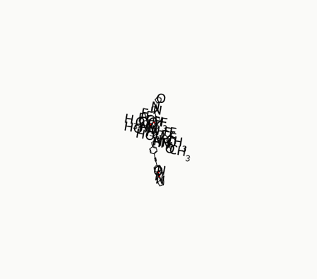 COC(=O)N[C@H](C(=O)N[C@@H](Cc1ccc(C#Cc2ccc(N3CC4CCC(C3)N4C3COC3)nc2)cc1)[C@@H](O)CN(Cc1c(F)cc(-c2ccn([C@H]3CCOC3)n2)cc1F)NC(=O)[C@@H](NC(=O)O)C(C)(C)C(F)(F)F)C(C)(C)C(F)(F)F